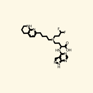 O=C(O)C(CCN(CCCCc1ccc2c(n1)NCCC2)CCC(F)F)Nc1ncnc2[nH]ncc12